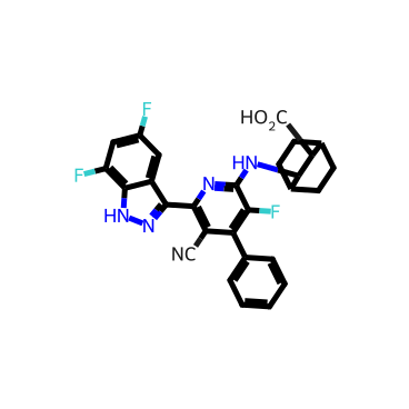 N#Cc1c(-c2n[nH]c3c(F)cc(F)cc23)nc(NC2C3CCC(CC3)C2C(=O)O)c(F)c1-c1ccccc1